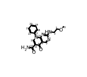 COCCNc1ncc2c(=O)c(C(N)=O)cn(-c3ccccc3)c2n1